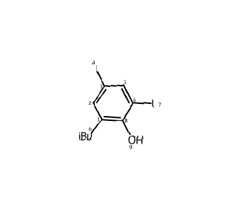 CCC(C)c1cc(I)cc(I)c1O